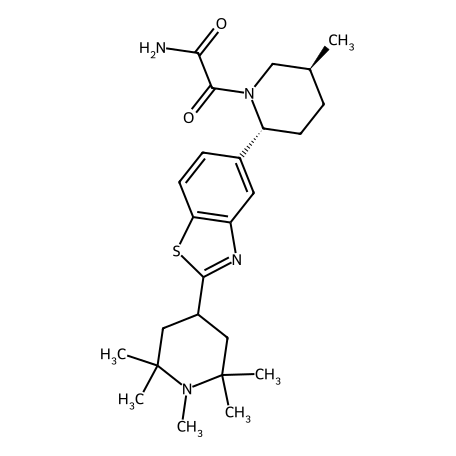 C[C@H]1CC[C@H](c2ccc3sc(C4CC(C)(C)N(C)C(C)(C)C4)nc3c2)N(C(=O)C(N)=O)C1